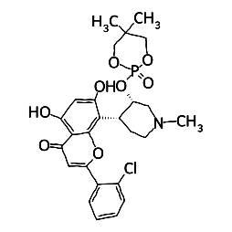 CN1CC[C@H](c2c(O)cc(O)c3c(=O)cc(-c4ccccc4Cl)oc23)[C@H](OP2(=O)OCC(C)(C)CO2)C1